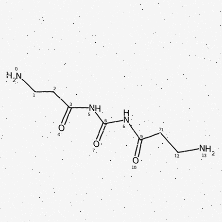 NCCC(=O)NC(=O)NC(=O)CCN